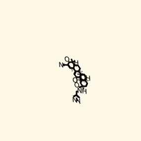 Cn1cc(CNC(=O)[C@@]2(C)CC[C@]3(C)CC[C@@]4(C)[C@]5(C)CC[C@H]6C(C)(C)C(=O)C(C#N)=C[C@]6(C)C5=CC(=O)[C@]4(O)[C@@H]3C2)cn1